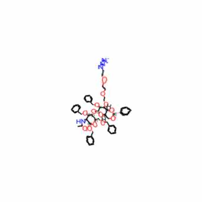 CC(=O)N[C@H]1[C@H](OCc2ccccc2)O[C@H](COCc2ccccc2)[C@@H](O[C@@H]2O[C@@H]3CO[C@@H](c4ccccc4)O[C@H]3[C@H](OCCOCCOCCN=[N+]=[N-])[C@@H]2OCc2ccccc2)[C@@H]1OCc1ccccc1